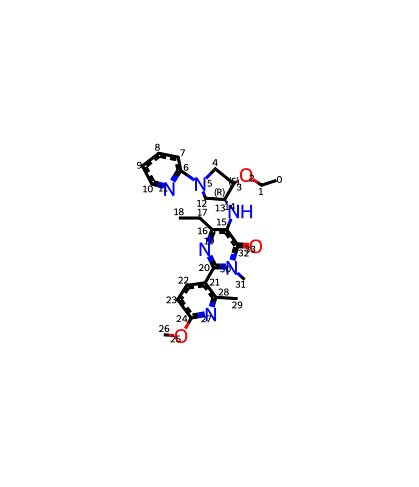 CCO[C@H]1CN(c2ccccn2)C[C@H]1Nc1c(CC)nc(-c2ccc(OC)nc2C)n(C)c1=O